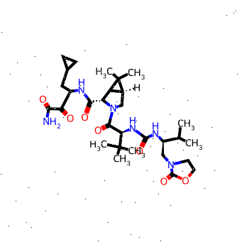 CC(C)[C@@H](CN1CCOC1=O)NC(=O)N[C@H](C(=O)N1C[C@H]2C([C@H]1C(=O)NC(CC1CC1)C(=O)C(N)=O)C2(C)C)C(C)(C)C